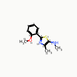 CNc1sc(-c2ccccc2OC)nc1C